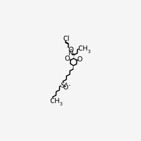 CCCCCC[S+]([O-])CCCCCC[C@H]1CC(=O)[C@H](C(CCC)=NOCC=CCl)C(=O)C1